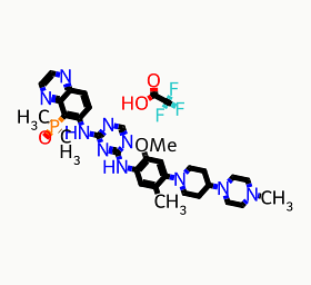 COc1cc(N2CCC(N3CCN(C)CC3)CC2)c(C)cc1Nc1ncnc(Nc2ccc3nccnc3c2P(C)(C)=O)n1.O=C(O)C(F)(F)F